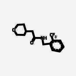 O=C(CC1CCOCC1)NCc1ccccc1C(F)(F)F